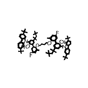 Cc1cc(F)cc(-c2cc(C(C)(C)CC(C)(C)C)cc(-n3c4cc(C(C)(C)C)ccc4c4ccc(C(C)(C)C)cc43)c2O)c1OCCCCOc1c(C)cc(F)cc1-c1cc(C(C)(C)CC(C)(C)C)cc(-n2c3cc(C(C)(C)C)ccc3c3ccc(C(C)(C)C)cc32)c1O